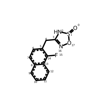 O=S1NC(Cc2ccc3ccccc3c2F)=NO1